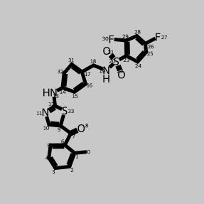 Cc1ccccc1C(=O)c1cnc(Nc2ccc(CNS(=O)(=O)c3ccc(F)cc3F)cc2)s1